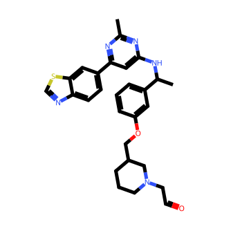 Cc1nc(NC(C)c2cccc(OCC3CCCN(CC=O)C3)c2)cc(-c2ccc3ncsc3c2)n1